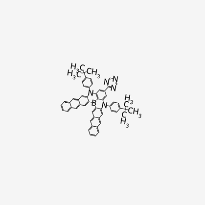 CC(C)(C)c1ccc(N2c3cc4cc5ccccc5cc4cc3B3c4cc5cc6ccccc6cc5cc4N(c4ccc(C(C)(C)C)cc4)c4cc(-c5ncncn5)cc2c43)cc1